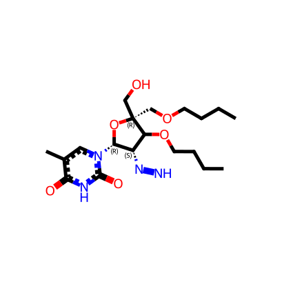 CCCCOC[C@@]1(CO)O[C@@H](n2cc(C)c(=O)[nH]c2=O)[C@@H](N=N)C1OCCCC